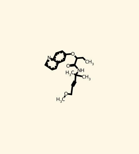 CCC(Oc1ccc2ncccc2c1)C(=O)NC(C)(C)C#CCOC